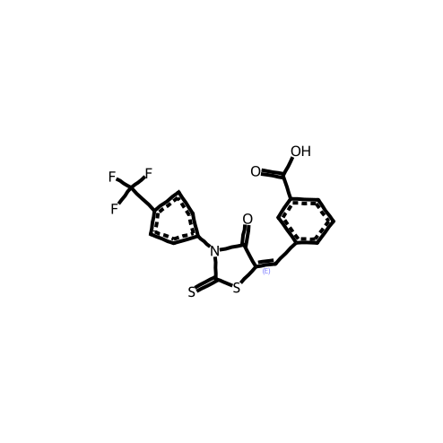 O=C(O)c1cccc(/C=C2/SC(=S)N(c3ccc(C(F)(F)F)cc3)C2=O)c1